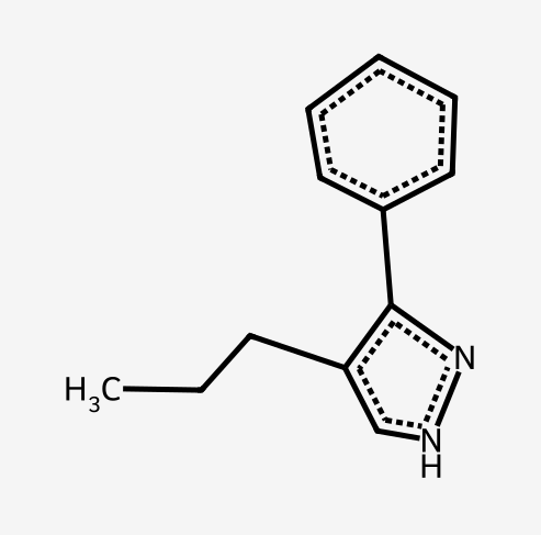 CCCc1c[nH]nc1-c1ccccc1